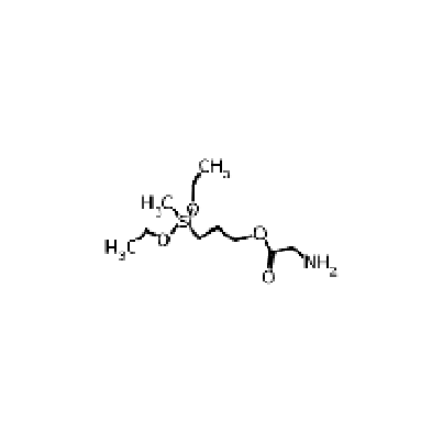 CCO[Si](C)(CCCOC(=O)CN)OCC